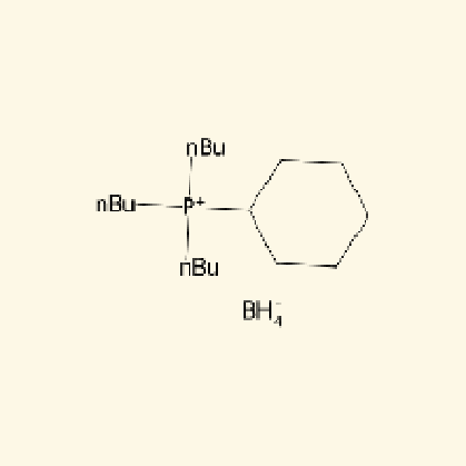 CCCC[P+](CCCC)(CCCC)C1CCCCC1.[BH4-]